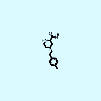 C=NC(=O)C1C[C@@H](CCc2ccc(C)cc2)CCN1